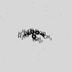 CCC(=O)COc1ccc(-c2cnc(C)c(CC(=O)OC(C)C)c2N2CCC(C)(C)CC2)nc1